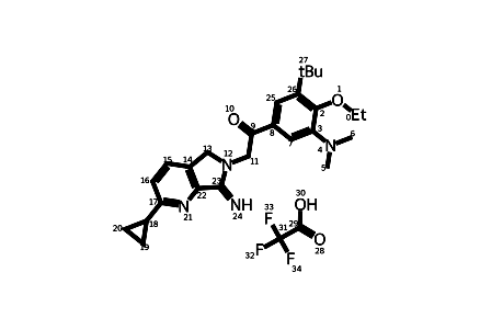 CCOc1c(N(C)C)cc(C(=O)CN2Cc3ccc(C4CC4)nc3C2=N)cc1C(C)(C)C.O=C(O)C(F)(F)F